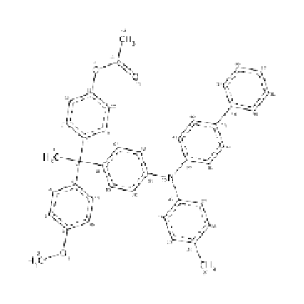 COc1ccc(C(C)(c2ccc(OC(C)=O)cc2)c2ccc(N(c3ccc(C)cc3)c3ccc(-c4ccccc4)cc3)cc2)cc1